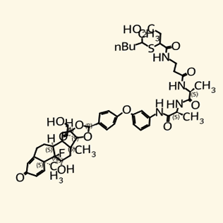 CCCCC(C)SC(CC(=O)O)C(=O)NCCC(=O)N[C@@H](C)C(=O)N[C@@H](C)C(=O)Nc1cccc(Oc2ccc([C@@H]3O[C@@H]4CC5[C@@H]6CCC7=CC(=O)C=C[C@]7(C)[C@@]6(F)[C@@H](O)C[C@]5(C)[C@]4(C(=O)CO)O3)cc2)c1